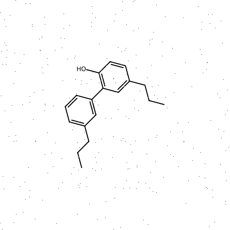 CCCc1cc[c]c(-c2cc(CCC)ccc2O)c1